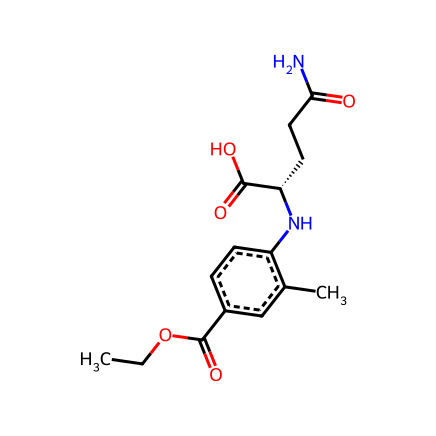 CCOC(=O)c1ccc(N[C@@H](CCC(N)=O)C(=O)O)c(C)c1